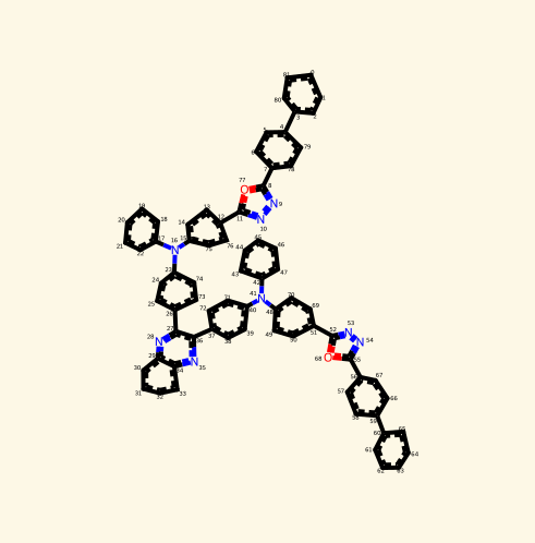 c1ccc(-c2ccc(-c3nnc(-c4ccc(N(c5ccccc5)c5ccc(-c6nc7ccccc7nc6-c6ccc(N(c7ccccc7)c7ccc(-c8nnc(-c9ccc(-c%10ccccc%10)cc9)o8)cc7)cc6)cc5)cc4)o3)cc2)cc1